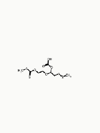 CSSCC(OCCOC(=S)SC)OC(=O)O